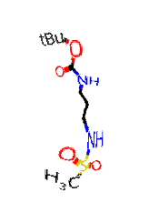 CC(C)(C)OC(=O)NCCCNS(C)(=O)=O